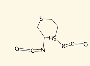 O=C=NC1CSCC[SH]1N=C=O